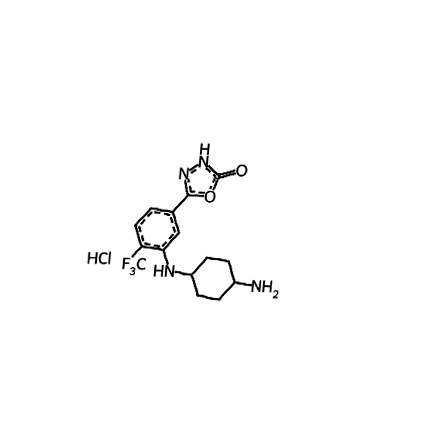 Cl.NC1CCC(Nc2cc(-c3n[nH]c(=O)o3)ccc2C(F)(F)F)CC1